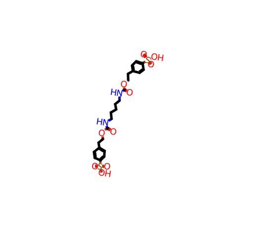 O=C(NCCCCCNC(=O)OCCc1ccc(S(=O)(=O)O)cc1)OCCc1ccc(S(=O)(=O)O)cc1